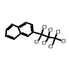 ClC(Cl)(Cl)C(Cl)(Cl)C(Cl)(Cl)c1ccc2[c]cccc2c1